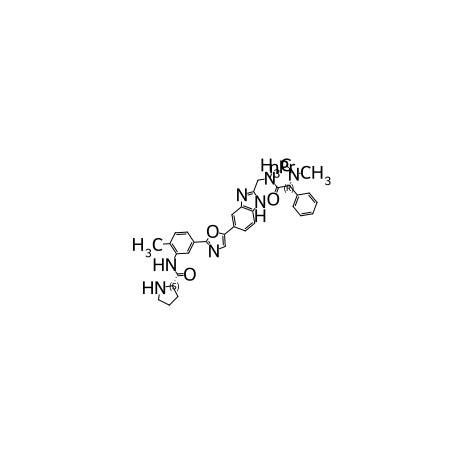 CCCN(Cc1nc2cc(-c3cnc(-c4ccc(C)c(NC(=O)[C@@H]5CCCN5)c4)o3)ccc2[nH]1)C(=O)[C@@H](c1ccccc1)N(C)C